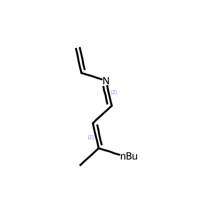 C=C/N=C\C=C(\C)CCCC